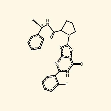 C[C@@H](NC(=O)C1CCCN1c1nc2c(=O)[nH]c(-c3ccccc3F)nc2s1)c1ccccc1